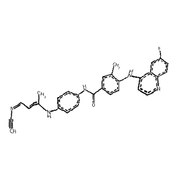 C#C/N=C\C=C(/C)Nc1ccc(NC(=O)c2ccc(Nc3ccnc4ccc(F)cc34)c(C)c2)cc1